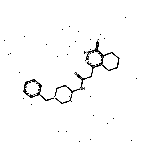 O=C(Cc1n[nH]c(=O)c2c1CCCC2)NC1CCN(Cc2ccccc2)CC1